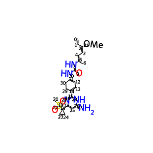 C=C/C(=C\C=C(/C)NC(=O)NC1=CC=C(C2=NC(C3(S(C)(=O)=O)CC3)=C[C@@H](N)N2)CC1)OC